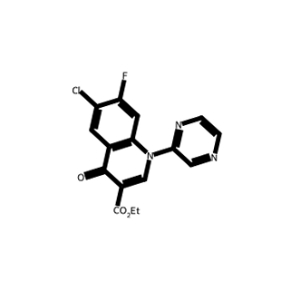 CCOC(=O)c1cn(-c2cnccn2)c2cc(F)c(Cl)cc2c1=O